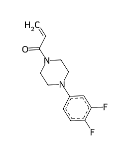 C=CC(=O)N1CCN(c2ccc(F)c(F)c2)CC1